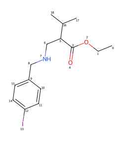 CCOC(=O)C(CNCc1ccc(I)cc1)C(C)C